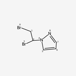 BrCC(Br)n1cccn1